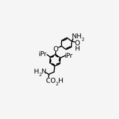 CC(C)c1cc(CC(N)C(=O)O)cc(C(C)C)c1OC1C=CC(N)(O)C=C1